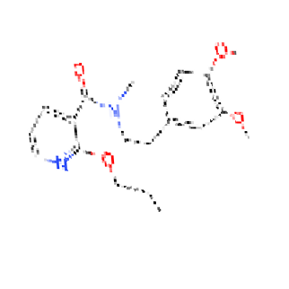 CCCOc1ncccc1C(=O)N(C)CCc1ccc(OC)c(OC)c1